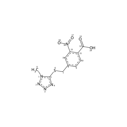 Cn1nnnc1SCc1ccc(C(=O)O)c([N+](=O)[O-])c1